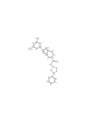 O=C(OC1CCN(c2cnccn2)C1)c1ccc2nc(-c3cc(Cl)cc(Cl)c3)oc2c1